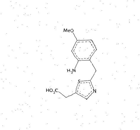 COc1ccc(Cc2ncc(CC(=O)O)s2)c(N)c1